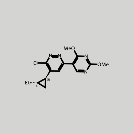 CC[C@H]1C[C@@H]1c1cc(-c2cnc(OC)nc2OC)nnc1Cl